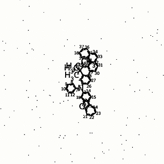 CC1(C)c2cc(N(c3ccccc3)c3ccc4c(c3)oc3ccccc34)ccc2-c2ccc3ccc4ccccc4c3c2C1(C)C